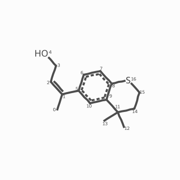 C/C(=C/CO)c1ccc2c(c1)C(C)(C)CCS2